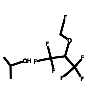 CC(C)O.FCOC(C(F)(F)F)C(F)(F)F